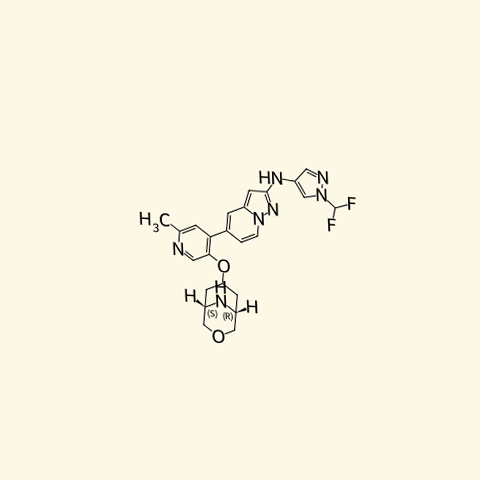 Cc1cc(-c2ccn3nc(Nc4cnn(C(F)F)c4)cc3c2)c(OC2C[C@H]3COC[C@@H](C2)N3)cn1